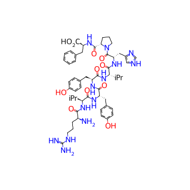 CC(C)[C@H](NC(=O)[C@H](Cc1ccc(O)cc1)NC(=O)[C@H](Cc1ccc(O)cc1)NC(=O)[C@@H](NC(=O)[C@@H](N)CCCNC(=N)N)C(C)C)C(=O)N[C@@H](Cc1c[nH]cn1)C(=O)N1CCC[C@H]1C(=O)N[C@@H](Cc1ccccc1)C(=O)O